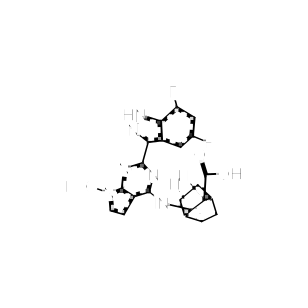 Cn1ccc2c(N[C@@H]3C4CCC(CC4)[C@H]3C(=O)O)nc(-c3n[nH]c4c(F)cc(F)cc34)nc21